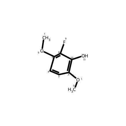 COc1ccc(OC)c(F)c1O